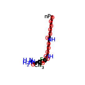 CCCOCCOCCOCCOCCOCCC(=O)NCCOCCOCCOCCNS(=O)(=O)c1ccc(Oc2c(F)cc(/C=C(\C)C(=O)N=C(N)N)cc2F)cc1